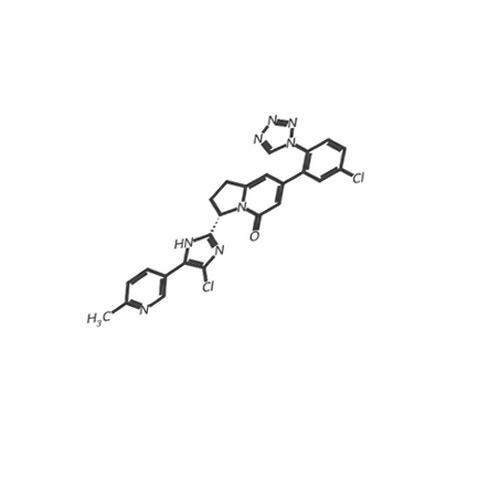 Cc1ccc(-c2[nH]c([C@@H]3CCc4cc(-c5cc(Cl)ccc5-n5cnnn5)cc(=O)n43)nc2Cl)cn1